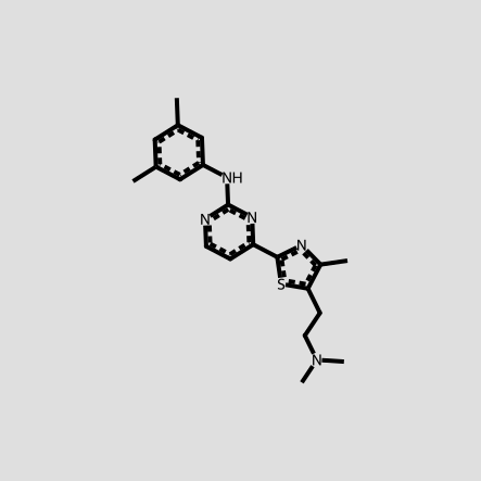 Cc1cc(C)cc(Nc2nccc(-c3nc(C)c(CCN(C)C)s3)n2)c1